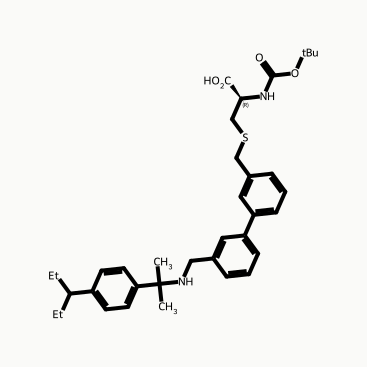 CCC(CC)c1ccc(C(C)(C)NCc2cccc(-c3cccc(CSC[C@H](NC(=O)OC(C)(C)C)C(=O)O)c3)c2)cc1